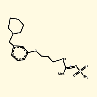 CS/C(=N\S(N)(=O)=O)NCCCOc1cccc(CN2CCCCC2)c1